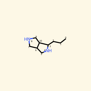 CCCC1NCC2CNCC21